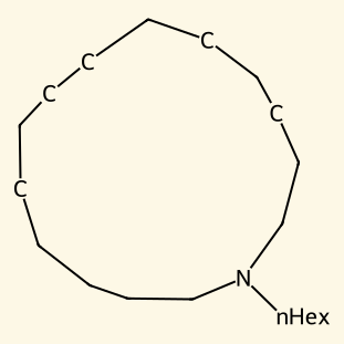 CCCCCCN1CCCCCCCCCCCCCC1